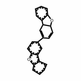 C1=CC2Oc3ccccc3C2C=C1c1ccc2oc3ccccc3c2c1